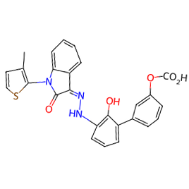 Cc1ccsc1N1C(=O)C(=NNc2cccc(-c3cccc(OC(=O)O)c3)c2O)c2ccccc21